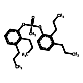 CCCc1cccc(OP(C)(=O)Oc2cccc(CCC)c2CCC)c1CCC